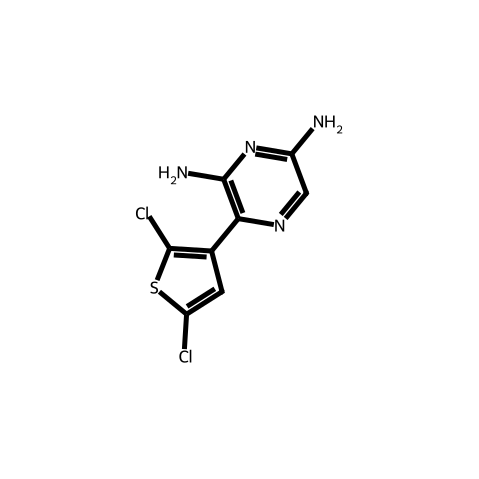 Nc1cnc(-c2cc(Cl)sc2Cl)c(N)n1